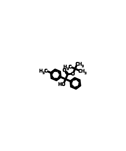 Cc1ccc(C(O)(C(=O)OC(C)(C)C)c2ccccc2)cc1